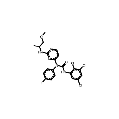 COC[C@H](C)Nc1nccc(N(C(=O)Nc2cc(Cl)cc(Cl)c2Cl)c2ccc(F)cc2)n1